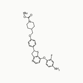 CC(C)(C)OC(=O)N1CCC(COc2ccc(C3Cc4nccc(Oc5ccc(N)cc5F)c4S3)cc2)CC1